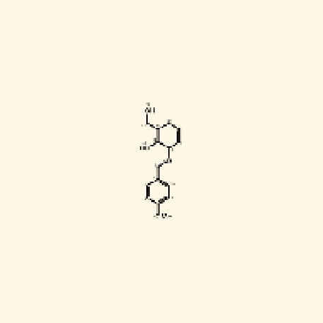 COc1ccc(COC2C=CCC(CO)C2O)cc1